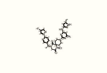 CCN1C(=O)CN([C@@H](C)c2ccc(-n3cc(F)cn3)nc2)C(=O)C12CCN(c1nc(C)cc(Nc3cc(C)[nH]n3)n1)CC2